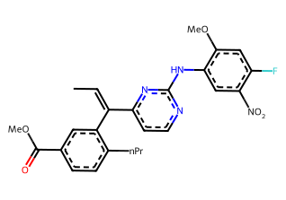 C/C=C(/c1ccnc(Nc2cc([N+](=O)[O-])c(F)cc2OC)n1)c1cc(C(=O)OC)ccc1CCC